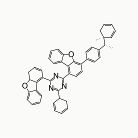 C[C@H](c1ccc(-c2ccc(-c3nc(C4=C5c6ccccc6OC5CC=C4)nc(C4C=CC=CC4)n3)c3c2oc2ccccc23)cc1)[C@]1(C)C=CC=CC1